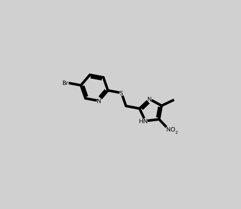 Cc1nc(CSc2ccc(Br)cn2)[nH]c1[N+](=O)[O-]